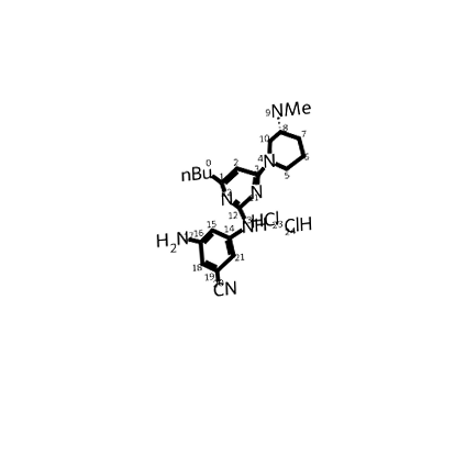 CCCCc1cc(N2CCC[C@@H](NC)C2)nc(Nc2cc(N)cc(C#N)c2)n1.Cl.Cl